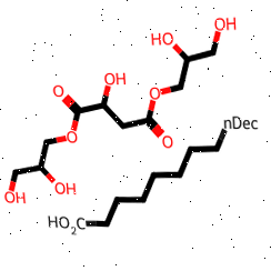 CCCCCCCCCCCCCCCCCC(=O)O.O=C(CC(O)C(=O)OCC(O)CO)OCC(O)CO